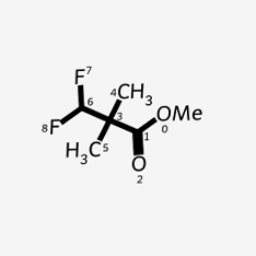 COC(=O)C(C)(C)C(F)F